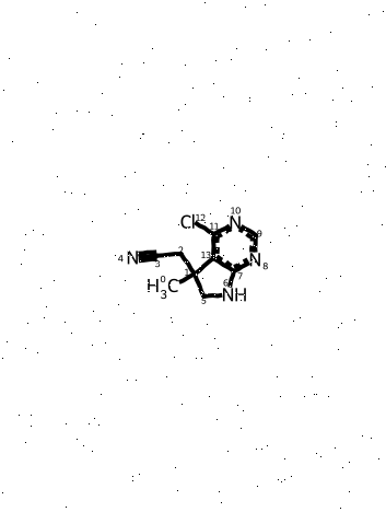 CC1(CC#N)CNc2ncnc(Cl)c21